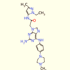 CCn1nc(C)cc1NC(=O)Cn1cnc2c(Nc3ccc(N4CCN(C)CC4)cc3)nc(N)nc21